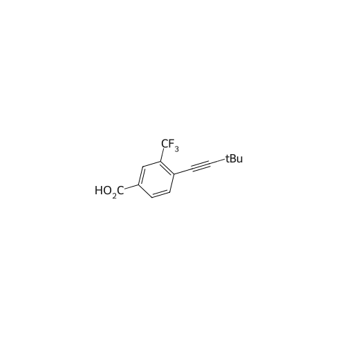 CC(C)(C)C#Cc1ccc(C(=O)O)cc1C(F)(F)F